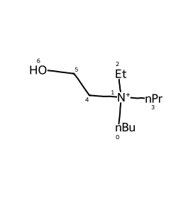 CCCC[N+](CC)(CCC)CCO